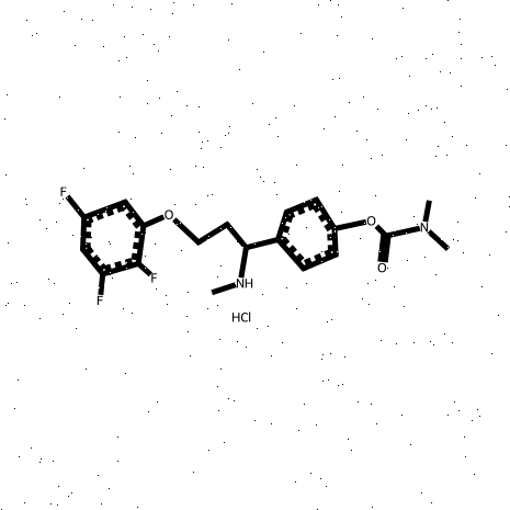 CNC(CCOc1cc(F)cc(F)c1F)c1ccc(OC(=O)N(C)C)cc1.Cl